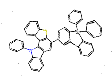 c1ccc(-n2c3ccccc3c3cc(-c4ccc5c(c4)-c4ccccc4[Si]5(c4ccccc4)c4ccccc4)c4sc5ccccc5c4c32)cc1